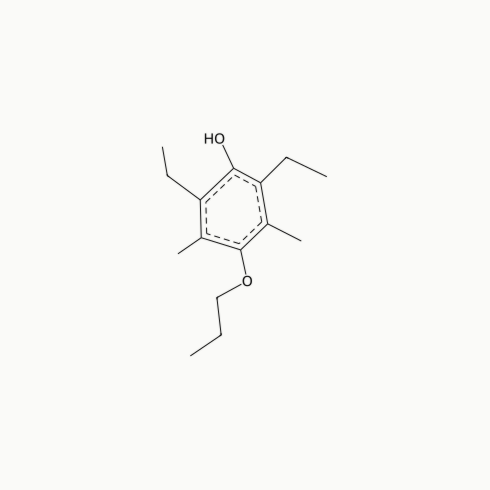 CCCOc1c(C)c(CC)c(O)c(CC)c1C